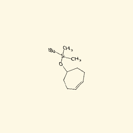 CC(C)(C)[Si](C)(C)OC1CCC=CCC1